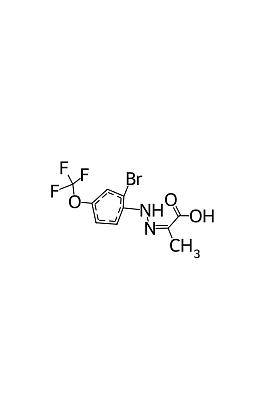 C/C(=N/Nc1ccc(OC(F)(F)F)cc1Br)C(=O)O